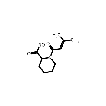 CC(C)=CC(=O)N1CCCCC1C(=O)N=O